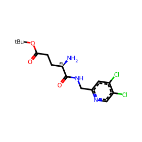 CC(C)(C)OC(=O)CC[C@@H](N)C(=O)NCc1cc(Cl)c(Cl)cn1